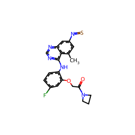 Cc1cc(N=S)cc2ncnc(Nc3ccc(F)cc3OCC(=O)N3CCC3)c12